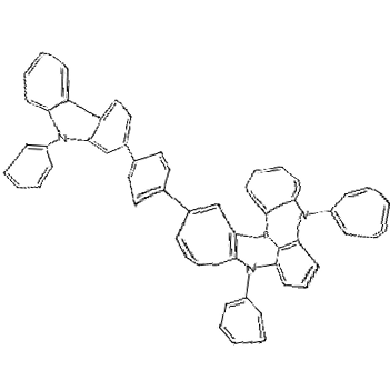 c1ccc(N2c3ccccc3B3c4cc(-c5ccc(-c6ccc7c8ccccc8n(-c8ccccc8)c7c6)cc5)ccc4N(c4ccccc4)c4cccc2c43)cc1